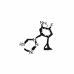 C/N=N\N(C=N)c1cc(N)c(F)cc1C1CC1